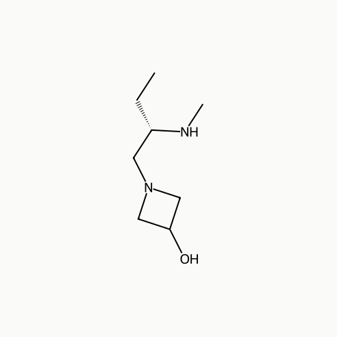 CC[C@@H](CN1CC(O)C1)NC